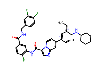 C=C/C(=C\C(=C/C)CNC1CCCCC1)c1ccn2c(C(=O)Nc3cc(C(=O)NCc4ccc(F)c(F)c4)ccc3F)cnc2c1